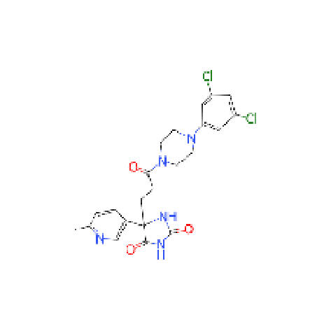 Cc1ccc(C2(CCC(=O)N3CCN(c4cc(Cl)cc(Cl)c4)CC3)NC(=O)NC2=O)cn1